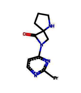 CC(C)c1nccc(N2CC3(CCCN3)C2=O)n1